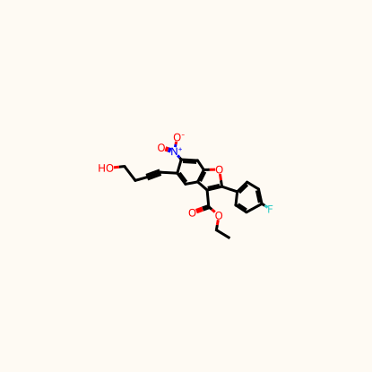 CCOC(=O)c1c(-c2ccc(F)cc2)oc2cc([N+](=O)[O-])c(C#CCCO)cc12